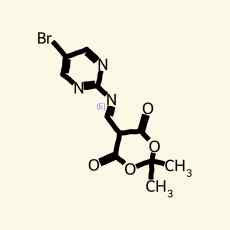 CC1(C)OC(=O)C(/C=N/c2ncc(Br)cn2)C(=O)O1